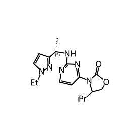 CCn1ccc([C@H](C)Nc2nccc(N3C(=O)OCC3C(C)C)n2)n1